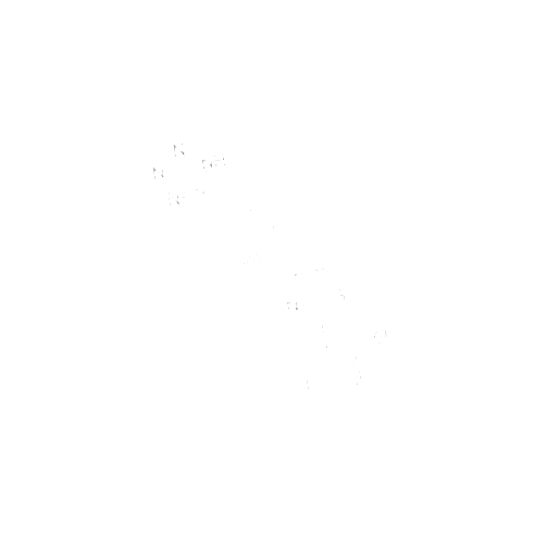 Clc1ccccc1C1=NC(c2ccc(-c3nnn[nH]3)cc2)CS1